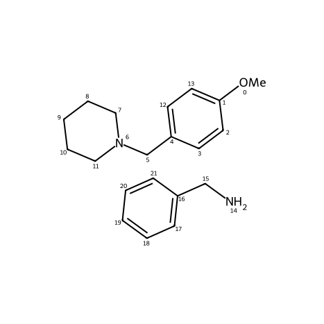 COc1ccc(CN2CCCCC2)cc1.NCc1ccccc1